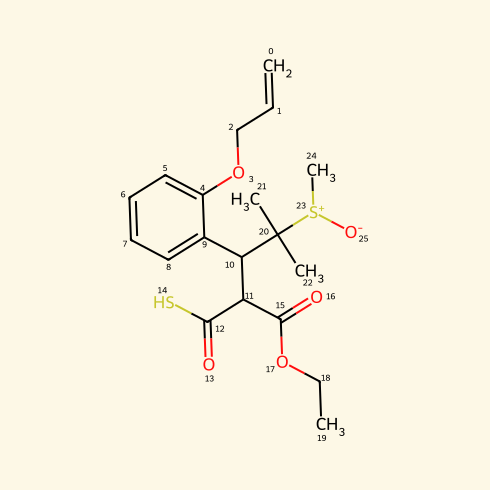 C=CCOc1ccccc1C(C(C(=O)S)C(=O)OCC)C(C)(C)[S+](C)[O-]